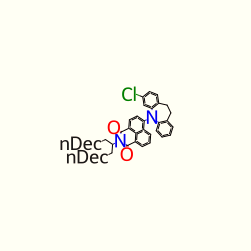 CCCCCCCCCCCC(CCCCCCCCCCC)N1C(=O)c2cccc3c(N4c5ccccc5CCc5ccc(Cl)cc54)ccc(c23)C1=O